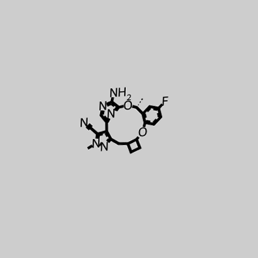 C[C@H]1Oc2nc(cnc2N)-c2c(nn(C)c2C#N)CC2CCC2Oc2ccc(F)cc21